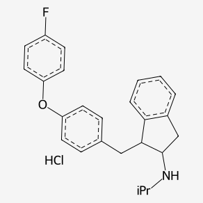 CC(C)NC1Cc2ccccc2C1Cc1ccc(Oc2ccc(F)cc2)cc1.Cl